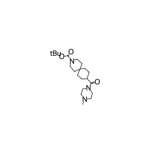 CN1CCN(C(=O)C2CCC3(CC2)CCN(C(=O)OC(C)(C)C)CC3)CC1